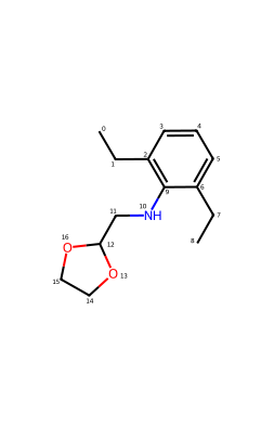 CCc1cccc(CC)c1NCC1OCCO1